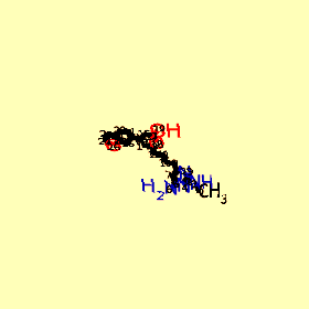 CCNc1nc(N)cc(CCCCCC[C@H](CC(=O)O)c2ccc3c(c2)OCC3)n1